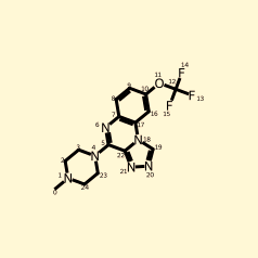 CN1CCN(c2nc3ccc(OC(F)(F)F)cc3n3cnnc23)CC1